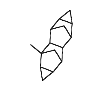 CC12CC(C3CC31)C1C3CC(C4CC43)C12